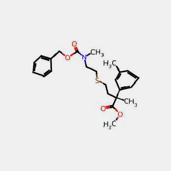 COC(=O)C(C)(CCSCCN(C)C(=O)OCc1ccccc1)c1cccc(C)c1